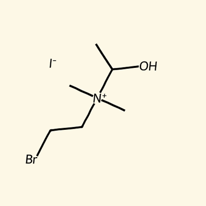 CC(O)[N+](C)(C)CCBr.[I-]